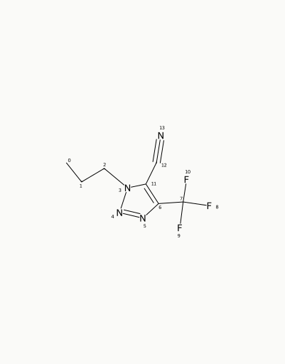 CCCn1nnc(C(F)(F)F)c1C#N